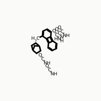 C1CC2CCC1C2.Cc1cccc2c1=c1ccccc1=2.N=C=O.N=C=O.N=C=O.N=C=O.N=C=O